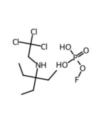 CCC(CC)(CC)NCC(Cl)(Cl)Cl.O=P(O)(O)OF